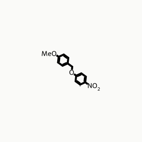 COc1ccc(COc2c[c]c([N+](=O)[O-])cc2)cc1